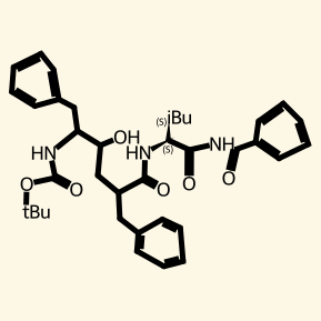 CC[C@H](C)[C@H](NC(=O)C(Cc1ccccc1)CC(O)C(Cc1ccccc1)NC(=O)OC(C)(C)C)C(=O)NC(=O)c1ccccc1